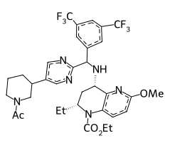 CCOC(=O)N1c2ccc(OC)nc2[C@@H](NC(c2cc(C(F)(F)F)cc(C(F)(F)F)c2)c2ncc(C3CCCN(C(C)=O)C3)cn2)C[C@H]1CC